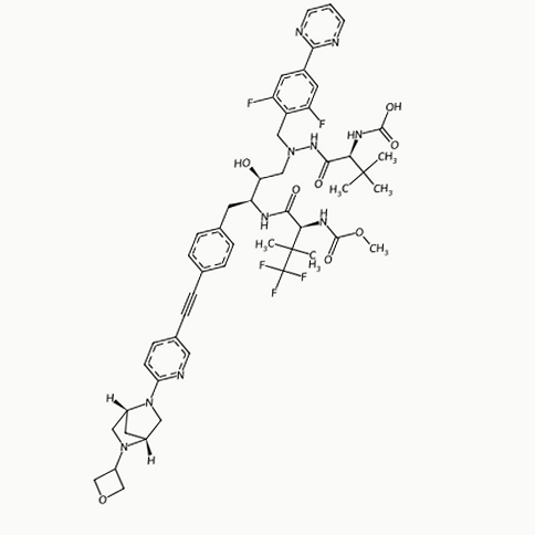 COC(=O)N[C@H](C(=O)N[C@@H](Cc1ccc(C#Cc2ccc(N3C[C@H]4C[C@@H]3CN4C3COC3)nc2)cc1)[C@@H](O)CN(Cc1c(F)cc(-c2ncccn2)cc1F)NC(=O)[C@@H](NC(=O)O)C(C)(C)C)C(C)(C)C(F)(F)F